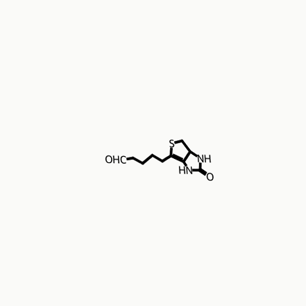 O=CCCCCC1=C2NC(=O)NC2CS1